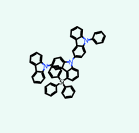 c1ccc(-n2c3ccccc3c3cc(-n4c5ccc(-n6c7ccccc7c7ccccc76)cc5c5c([Si](c6ccccc6)(c6ccccc6)c6ccccc6)cccc54)ccc32)cc1